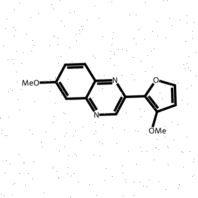 COc1ccc2nc(-c3occc3OC)cnc2c1